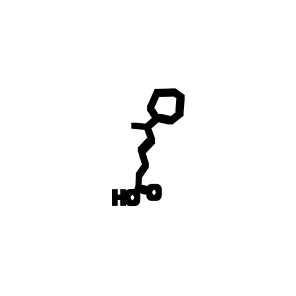 CC(C=CCCC(=O)O)C1=CC=CC=CC1